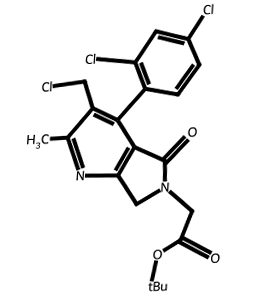 Cc1nc2c(c(-c3ccc(Cl)cc3Cl)c1CCl)C(=O)N(CC(=O)OC(C)(C)C)C2